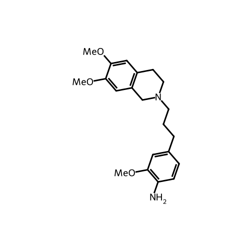 COc1cc(CCCN2CCc3cc(OC)c(OC)cc3C2)ccc1N